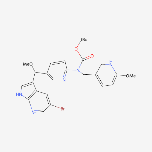 COC1=CC=C(CN(C(=O)OC(C)(C)C)c2ccc(C(OC)c3c[nH]c4ncc(Br)cc34)cn2)CN1